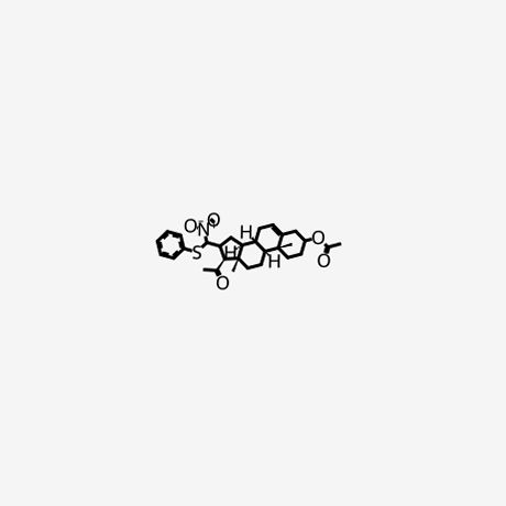 CC(=O)OC1CC[C@@]2(C)C(=CC[C@H]3[C@@H]4CC(C(Sc5ccccc5)[N+](=O)[O-])[C@H](C(C)=O)[C@@]4(C)CC[C@@H]32)C1